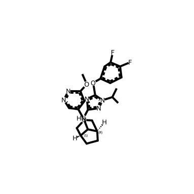 COc1cc(N2C[C@H]3CC[C@@H](C2)C3Nc2nc(Oc3ccc(F)c(F)c3)n(C(C)C)n2)cnn1